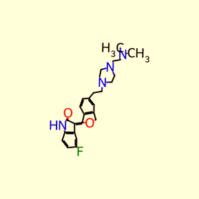 CN(C)CCN1CCN(CCc2ccc3c(c2)COC3=C2C(=O)Nc3ccc(F)cc32)CC1